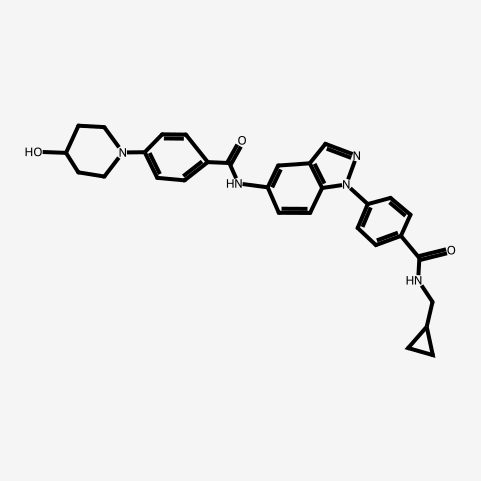 O=C(NCC1CC1)c1ccc(-n2ncc3cc(NC(=O)c4ccc(N5CCC(O)CC5)cc4)ccc32)cc1